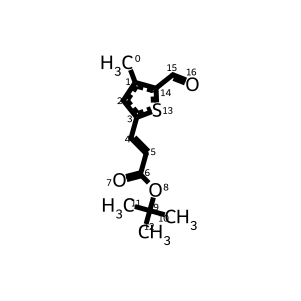 Cc1cc(/C=C/C(=O)OC(C)(C)C)sc1C=O